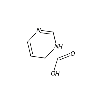 C1=CN=CNC1.O=CO